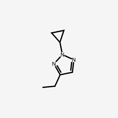 CCc1cnn(C2CC2)n1